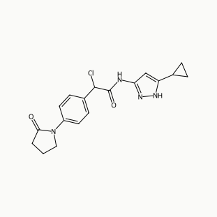 O=C(Nc1cc(C2CC2)[nH]n1)C(Cl)c1ccc(N2CCCC2=O)cc1